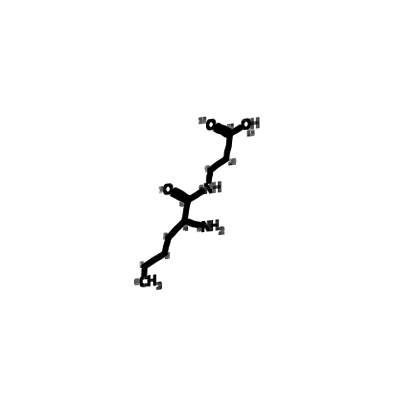 CCCCC(N)C(=O)NCCC(=O)O